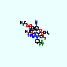 CCOC(=O)C[N+](C)(C)Cc1cc(C#N)ccc1[C@@H]1C(C(=O)OC)=C(C)N(c2cccc(C(F)(F)F)c2)c2n[nH]c(=O)n21